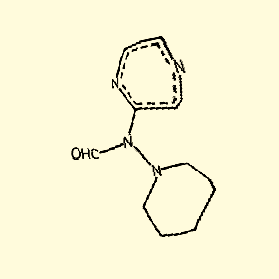 O=CN(c1cnccn1)N1CCCCC1